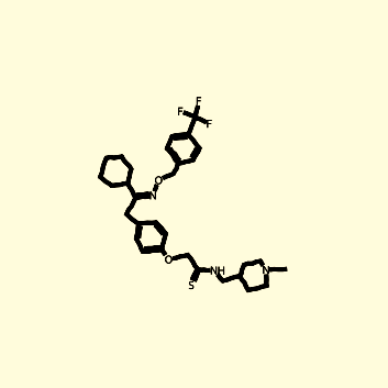 CN1CCC(CNC(=S)COc2ccc(CC(=NOCc3ccc(C(F)(F)F)cc3)C3CCCCC3)cc2)CC1